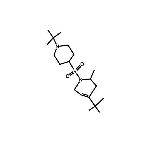 CC1CC(C(C)(C)C)=CCN1S(=O)(=O)C1CCN(C(C)(C)C)CC1